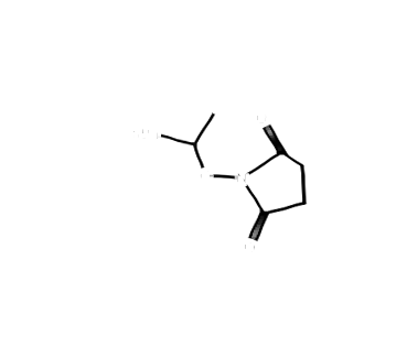 CCCCC(C)ON1C(=O)CCC1=O